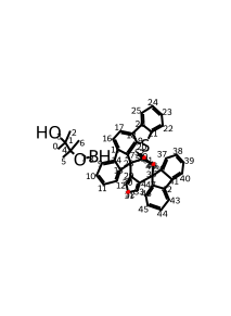 CC(C)(O)C(C)(C)OBc1cccc2c1-c1ccc3c(sc4ccccc43)c1C21c2ccccc2C2(c3ccccc3-c3ccccc32)c2ccccc21